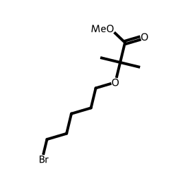 COC(=O)C(C)(C)OCCCCCBr